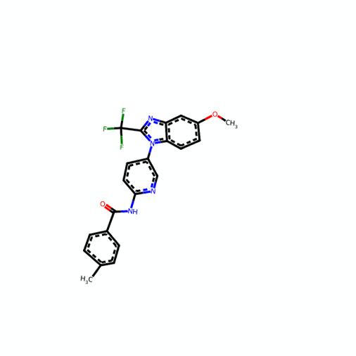 COc1ccc2c(c1)nc(C(F)(F)F)n2-c1ccc(NC(=O)c2ccc(C)cc2)nc1